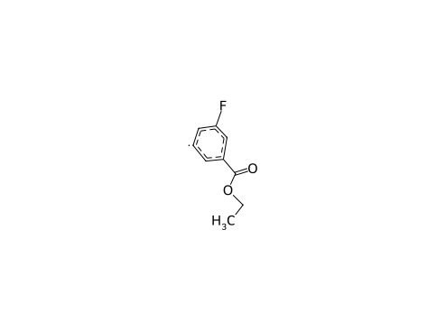 CCOC(=O)c1c[c]cc(F)c1